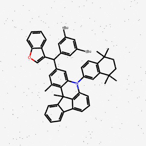 Cc1cc(C(c2cc(C(C)(C)C)cc(C(C)(C)C)c2)c2coc3ccccc23)cc2c1C1(C)c3ccccc3-c3cccc(c31)N2c1ccc2c(c1)C(C)(C)CCC2(C)C